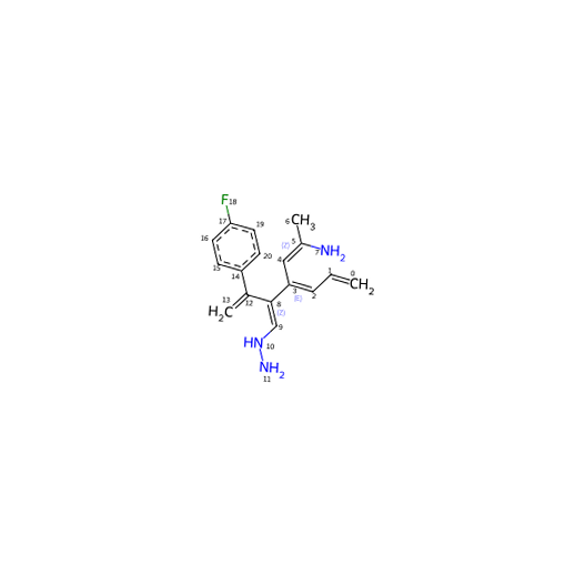 C=C/C=C(\C=C(\C)N)C(=C/NN)/C(=C)c1ccc(F)cc1